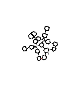 c1ccc(-c2ccc([Si](c3ccc(-c4ccccc4)cc3)(c3ccc(-c4ccccc4)cc3)c3cc(-c4cc(-c5ccccc5)nc(-c5ccccc5)n4)cc([Si](c4ccc(-c5ccccc5)cc4)(c4ccc(-c5ccccc5)cc4)c4ccc(-c5ccccc5)cc4)c3)cc2)cc1